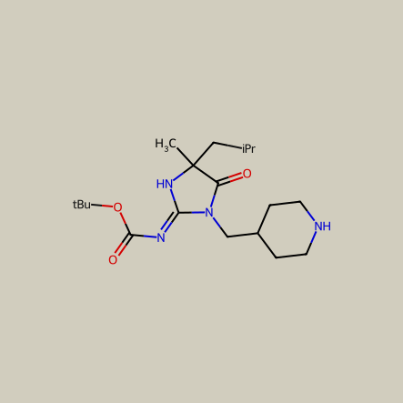 CC(C)CC1(C)NC(=NC(=O)OC(C)(C)C)N(CC2CCNCC2)C1=O